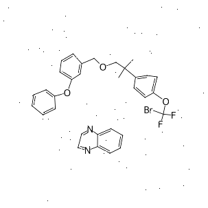 CC(C)(COCc1cccc(Oc2ccccc2)c1)c1ccc(OC(F)(F)Br)cc1.c1ccc2nccnc2c1